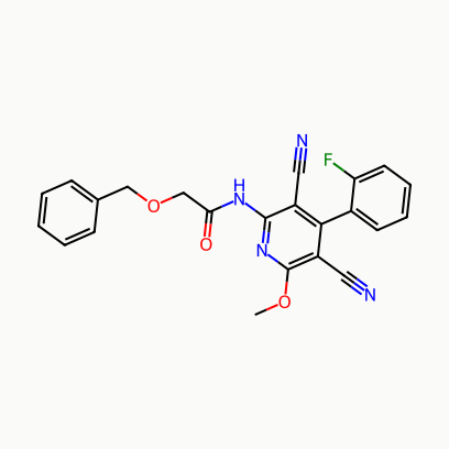 COc1nc(NC(=O)COCc2ccccc2)c(C#N)c(-c2ccccc2F)c1C#N